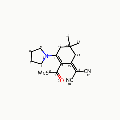 CSC(=O)C1=C(N2CCCC2)CC(C)(C)CC1=C(C#N)C#N